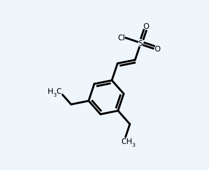 CCc1cc(C=CS(=O)(=O)Cl)cc(CC)c1